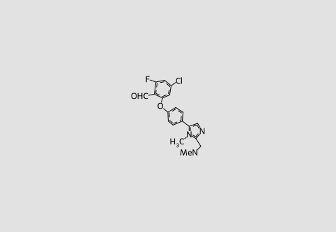 CNCc1ncc(-c2ccc(Oc3cc(Cl)cc(F)c3C=O)cc2)n1C